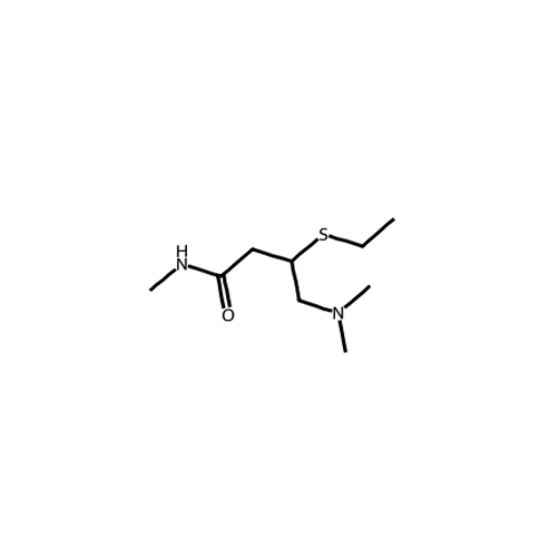 CCSC(CC(=O)NC)CN(C)C